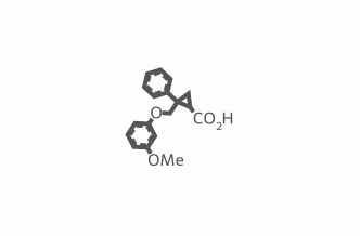 COc1cccc(OCC2(c3ccccc3)CC2C(=O)O)c1